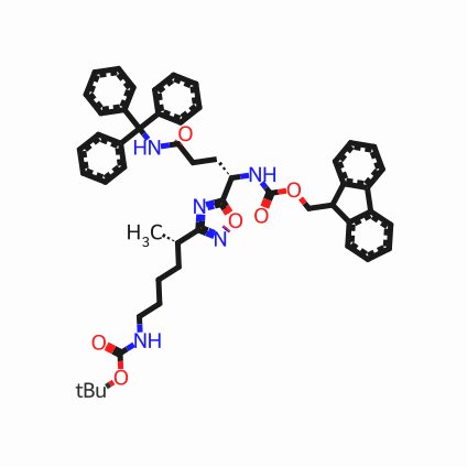 C[C@@H](CCCCNC(=O)OC(C)(C)C)c1noc([C@H](CCC(=O)NC(c2ccccc2)(c2ccccc2)c2ccccc2)NC(=O)OCC2c3ccccc3-c3ccccc32)n1